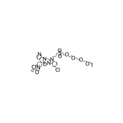 O=C1N(Cc2nc3cc(Cl)ccc3n2CCCS(=O)(=O)CCOCCOCCOCCOCI)c2cnccc2C12CCN(C(=O)C1(C(F)(F)F)CC1)CC2